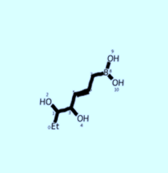 CCC(O)C(O)/C=C/CB(O)O